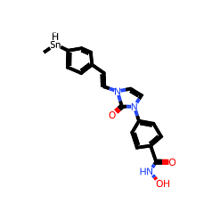 [CH3][SnH]([CH3])[c]1ccc(C=Cn2ccn(-c3ccc(C(=O)NO)cc3)c2=O)cc1